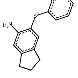 Nc1cc2c(cc1Sc1ccccn1)CCC2